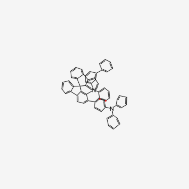 c1ccc(-c2cccc(N(c3ccccc3)c3c(-c4ccc(N(c5ccccc5)c5ccccc5)cc4)ccc4c3C3(c5ccccc5-c5ccccc53)c3ccccc3-4)c2)cc1